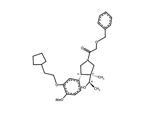 COc1ccc([C@@H]2CN(C(=O)COCc3ccccc3)C[C@@]2(C)[C@@H](C)O)cc1OCCC1CCCC1